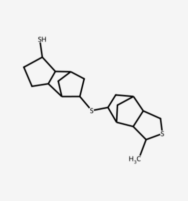 CC1SCC2C3CC(SC4CC5CC4C4CCC(S)C54)C(C3)C12